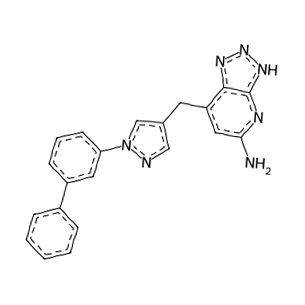 Nc1cc(Cc2cnn(-c3cccc(-c4ccccc4)c3)c2)c2nn[nH]c2n1